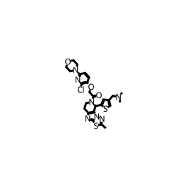 Cc1nn2c3c(nc2s1)CCN(C(=O)COc1ccc(N2CCOCC2)nc1Cl)C3c1cc(CN(C)C)cs1